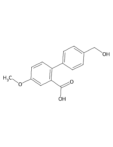 COc1ccc(-c2ccc(CO)cc2)c(C(=O)O)c1